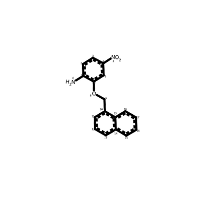 Nc1ccc([N+](=O)[O-])cc1OCc1cccc2ccccc12